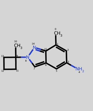 Cc1cc(N)cc2cn(C3(C)CCC3)nc12